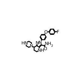 NC(=O)c1c2c(nn1-c1ccc(Oc3ccc(F)cc3)cc1)C(N1CCNCC1)CCN2